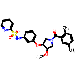 COC1CN(C(=O)c2cc(C)ccc2C)CC1Oc1cccc(NS(=O)(=O)c2ccccn2)c1